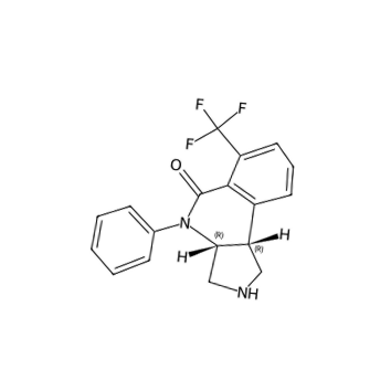 O=C1c2c(cccc2C(F)(F)F)[C@@H]2CNC[C@@H]2N1c1ccccc1